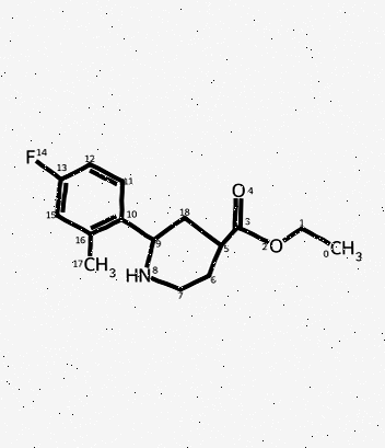 CCOC(=O)C1CCNC(c2ccc(F)cc2C)C1